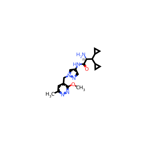 COc1nnc(C)cc1Cn1cc(NC(=O)[C@@H](N)C(C2CC2)C2CC2)cn1